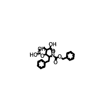 CC(C(=O)O)C(OP(O)O)C(Cc1ccccc1)NC(=O)OCc1ccccc1